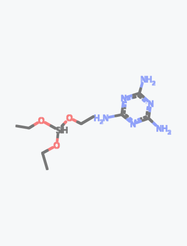 CCO[SiH](OCC)OCC.Nc1nc(N)nc(N)n1